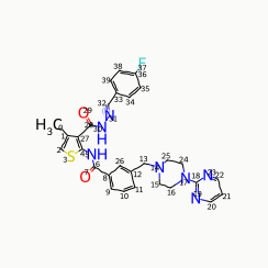 Cc1csc(NC(=O)c2cccc(CN3CCN(c4ncccn4)CC3)c2)c1C(=O)N/N=C/c1ccc(F)cc1